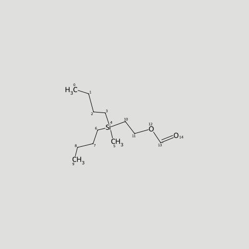 CCCC[Si](C)(CCCC)CCO[C]=O